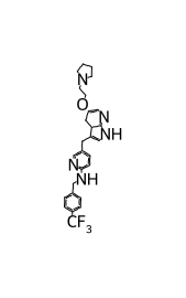 FC(F)(F)c1ccc(CNc2ccc(CC3=CNC4=NC=C(OCCN5CCCC5)CC34)cn2)cc1